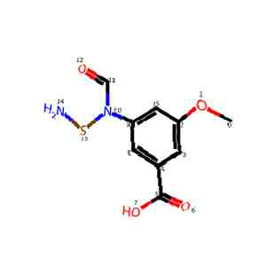 COc1cc(C(=O)O)cc(N(C=O)SN)c1